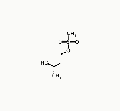 C[C@H](O)CCOS(C)(=O)=O